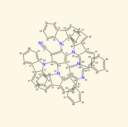 N#Cc1c(-n2c3ccccc3c3ccccc32)c(-n2c3ccccc3c3ccccc32)c(-c2cc(-c3ccccc3)nc(-c3ccccc3)n2)c(-n2c3ccccc3c3ccccc32)c1-n1c2ccccc2c2ccccc21